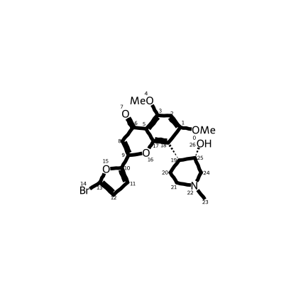 COc1cc(OC)c2c(=O)cc(-c3ccc(Br)o3)oc2c1[C@H]1CCN(C)C[C@H]1O